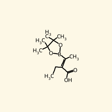 CC/C(C(=O)O)=C(/C)B1OC(C)(C)C(C)(C)O1